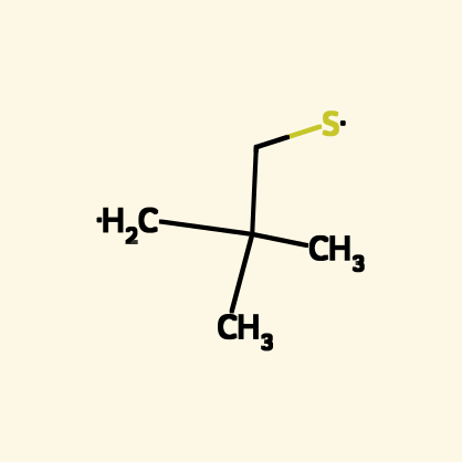 [CH2]C(C)(C)C[S]